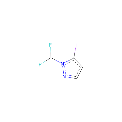 FC(F)n1nccc1I